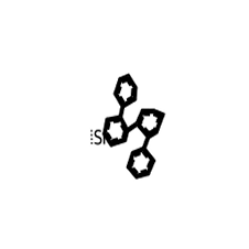 [Sn].c1ccc(-c2ccccc2-c2ccccc2-c2ccccc2)cc1